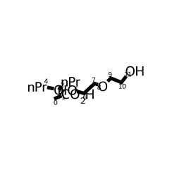 CC(=O)O.CCCOCCC.OCCOCCO